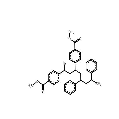 COC(=O)c1ccc(C(Br)CC(CC(CC(C)c2ccccc2)c2ccccc2)c2ccc(C(=O)OC)cc2)cc1